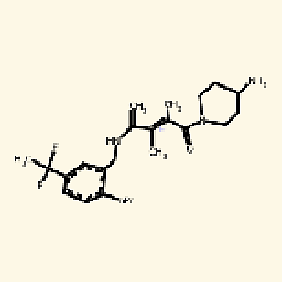 C=C(NCc1cc(C(C)(F)F)ccc1CCC)/C(C)=C(\C)C(=O)N1CCC(N)CC1